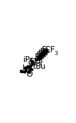 C#CCn1c(I)cc(C(O[Si](CCC(F)(F)C(F)(F)C(F)(F)C(F)(F)C(F)(F)C(F)(F)F)(C(C)C)C(C)C)C(C)(C)C)c(C)c1=O